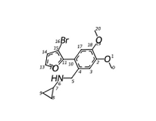 COc1cc(CNC2CC2)c(-c2occc2Br)cc1OC